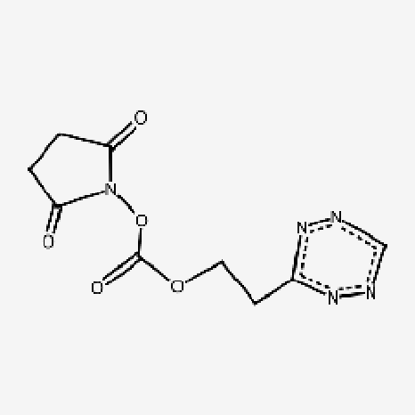 O=C(OCCc1nncnn1)ON1C(=O)CCC1=O